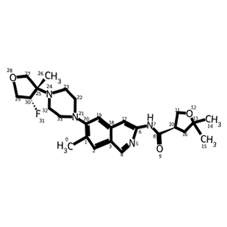 Cc1cc2cnc(NC(=O)[C@H]3COC(C)(C)C3)cc2cc1N1CCN([C@@]2(C)COC[C@H]2F)CC1